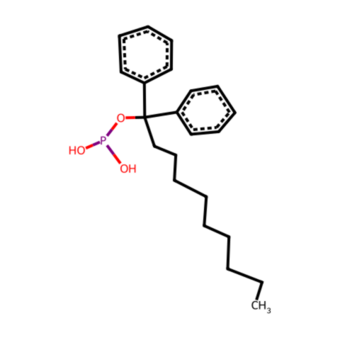 CCCCCCCCCC(OP(O)O)(c1ccccc1)c1ccccc1